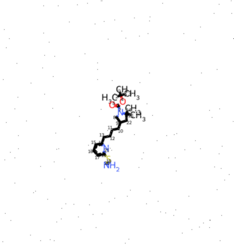 CC(C)(C)OC(=O)N1CC(CCCCc2cccc(SN)n2)CC1(C)C